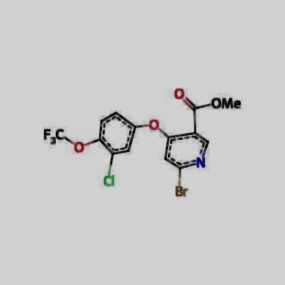 COC(=O)c1cnc(Br)cc1Oc1ccc(OC(F)(F)F)c(Cl)c1